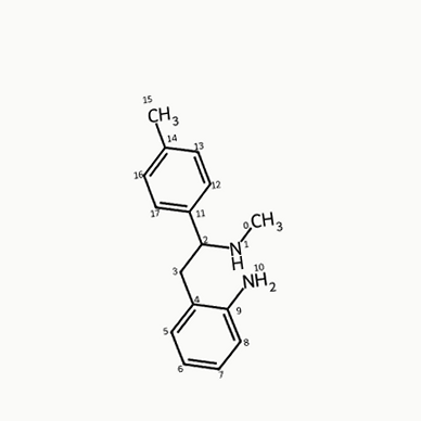 CNC(Cc1ccccc1N)c1ccc(C)cc1